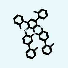 Cc1ccccc1-c1ccc2c(c1)B1c3cc(-c4ccccc4C)ccc3Oc3c(-c4ccccc4C)cc(-c4ccccc4C)c(c31)O2